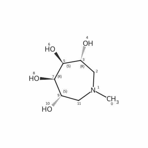 CN1C[C@@H](O)[C@H](O)[C@H](O)[C@@H](O)C1